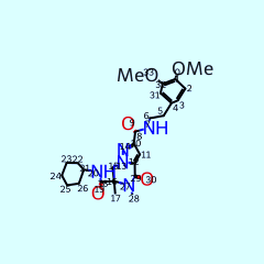 COc1ccc(CCNC(=O)c2cc3n(n2)CC(C)(C(=O)NC2CCCCC2)N(C)C3=O)cc1OC